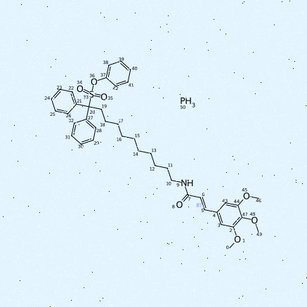 COc1cc(/C=C/C(=O)NCCCCCCCCCCC(c2ccccc2)(c2ccccc2)S(=O)(=O)Oc2ccccc2)cc(OC)c1OC.P